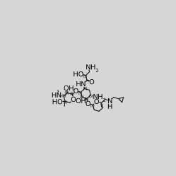 CN[C@@H]1[C@@H](O)[C@@H](O[C@@H]2[C@@H](O)[C@H](O[C@@H]3CCC=C(CNCC4CC4)O3)[C@@H](N)C[C@H]2NC(=O)[C@@H](O)CN)OC[C@]1(C)O